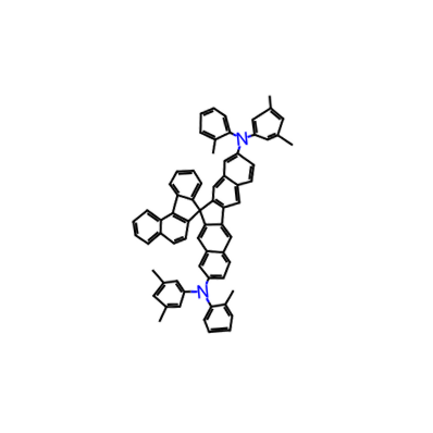 Cc1cc(C)cc(N(c2ccc3cc4c(cc3c2)C2(c3cc5cc(N(c6cc(C)cc(C)c6)c6ccccc6C)ccc5cc3-4)c3ccccc3-c3c2ccc2ccccc32)c2ccccc2C)c1